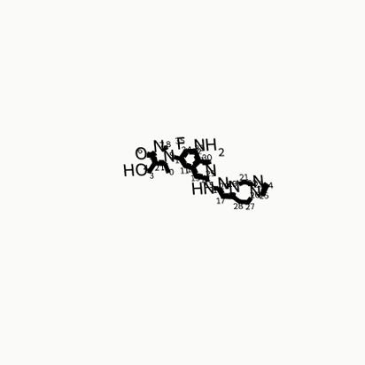 Cc1c(CO)c(=O)ncn1-c1cc2cc(Nc3cc4n(n3)Cc3nccn3CC4)ncc2c(N)c1F